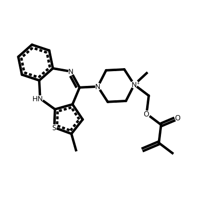 C=C(C)C(=O)OC[N+]1(C)CCN(C2=Nc3ccccc3Nc3sc(C)cc32)CC1